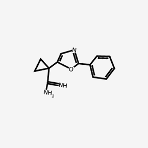 N=C(N)C1(c2cnc(-c3ccccc3)o2)CC1